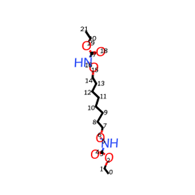 CCOC(=O)NOCCCCCCCCONC(=O)OCC